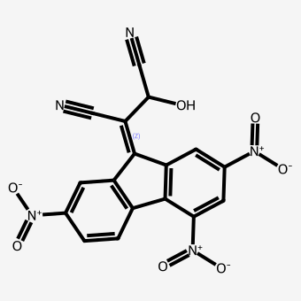 N#C/C(=C1\c2cc([N+](=O)[O-])ccc2-c2c1cc([N+](=O)[O-])cc2[N+](=O)[O-])C(O)C#N